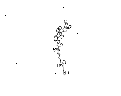 CNCCNC(=O)CCCCCCNC(=O)COc1cccc2c1C(=O)N(C1CCC(=O)NC1=O)C2=O